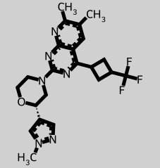 Cc1cc2c(C3CC(C(F)(F)F)C3)nc(N3CCO[C@@H](c4cnn(C)c4)C3)nc2nc1C